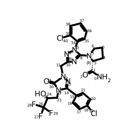 NC(=O)[C@H]1CCCN1c1nc(Cn2nc(-c3ccc(Cl)cc3)n(CC(O)C(F)(F)F)c2=O)nn1-c1ccccc1Cl